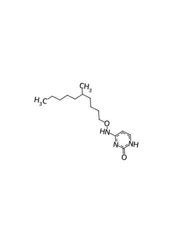 CCCCCC(C)CCCCONc1cc[nH]c(=O)n1